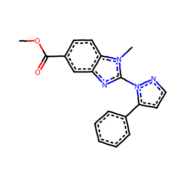 COC(=O)c1ccc2c(c1)nc(-n1nccc1-c1ccccc1)n2C